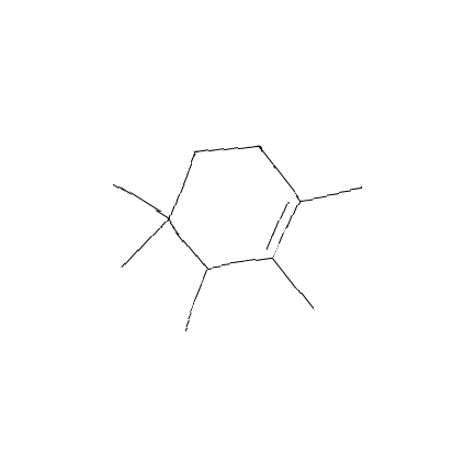 CC1=C(C)C(C)C(C)(C)CC1